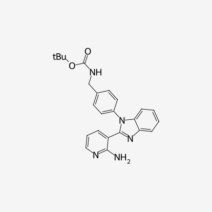 CC(C)(C)OC(=O)NCc1ccc(-n2c(-c3cccnc3N)nc3ccccc32)cc1